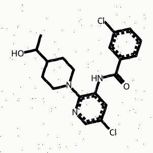 CC(O)C1CCN(c2ncc(Cl)cc2NC(=O)c2cccc(Cl)c2)CC1